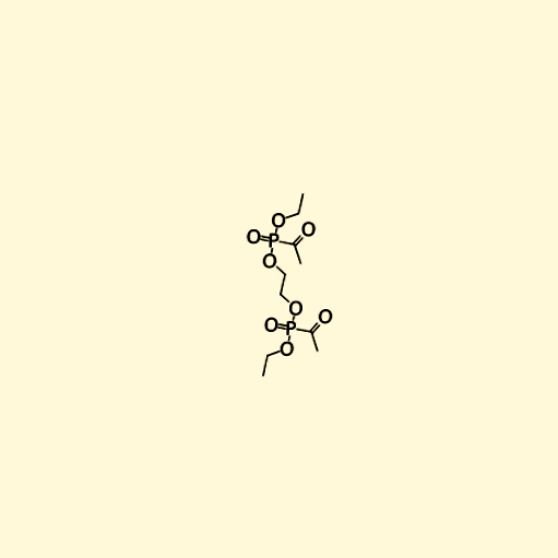 CCOP(=O)(OCCOP(=O)(OCC)C(C)=O)C(C)=O